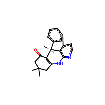 Cc1ccnc2c1[C@](C)(c1ccccc1)C1=C(CC(C)(C)CC1=O)N2